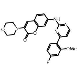 COc1cc(F)ccc1-c1ccnc(Nc2ccc3cc(N4CCOCC4)c(=O)oc3c2)n1